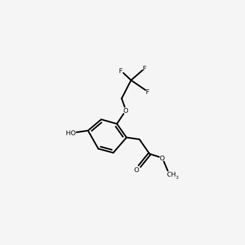 COC(=O)Cc1ccc(O)cc1OCC(F)(F)F